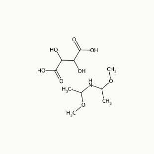 COC(C)NC(C)OC.O=C(O)C(O)C(O)C(=O)O